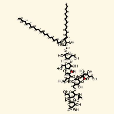 CCCCCCCCCCCCC/C=C/[C@@H](O)[C@H](CO[C@@H]1OC(CO)[C@@H](O[C@@H]2OC(CO)[C@H](O[C@@H]3OC(CO)[C@H](O)[C@H](O[C@@H]4OC(CO[C@@H]5OC(CO)[C@@H](O)[C@H](O[C@H]6C(O)[C@H](O)C(C)O[C@H]6O)C5NC(C)=O)[C@H](O)[C@H](O[C@@H]5OC(CO)[C@H](O)[C@H](O)C5O)C4NC(C)=O)C3O)[C@H](O)C2O)[C@H](O)C1O)NC(=O)CCCCCCCCCCCCCCCCCCC